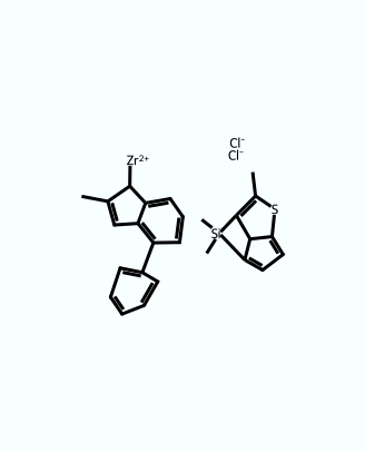 CC1=C2C3C(=CC=C3[Si]2(C)C)S1.CC1=Cc2c(-c3ccccc3)cccc2[CH]1[Zr+2].[Cl-].[Cl-]